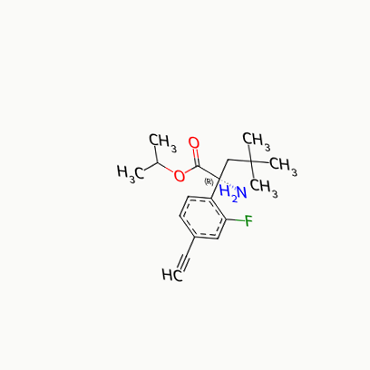 C#Cc1ccc([C@](N)(CC(C)(C)C)C(=O)OC(C)C)c(F)c1